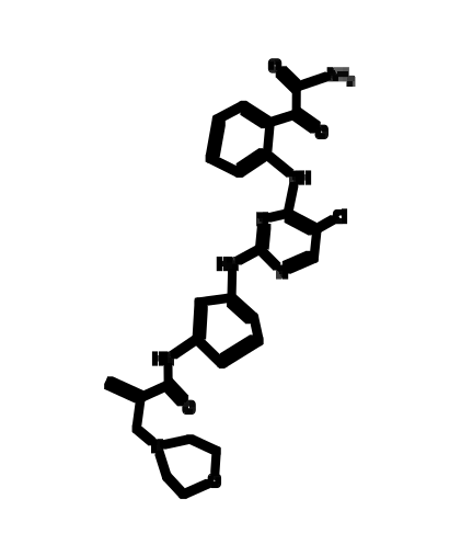 C=C(CN1CCOCC1)C(=O)Nc1cccc(Nc2ncc(Cl)c(Nc3ccccc3C(=O)C(N)=O)n2)c1